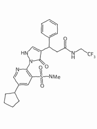 CNS(=O)(=O)c1cc(C2CCCC2)cnc1-n1[nH]cc(C(CC(=O)NCC(F)(F)F)c2ccccc2)c1=O